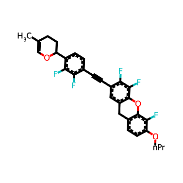 CCCOc1ccc2c(c1F)Oc1c(cc(C#Cc3ccc(C4CCC(C)=CO4)c(F)c3F)c(F)c1F)C2